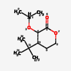 C[SiH](C)OC1C(=O)OCCC1C(C)(C)C